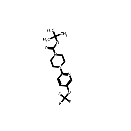 CC(C)(C)OC(=O)N1CCN(c2ccc(OC(F)(F)F)cn2)CC1